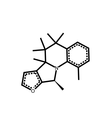 Cc1cccc2c1N1[C@@H](C)c3occc3C1(C)C(C)(C)C2(C)C